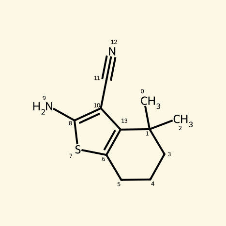 CC1(C)CCCc2sc(N)c(C#N)c21